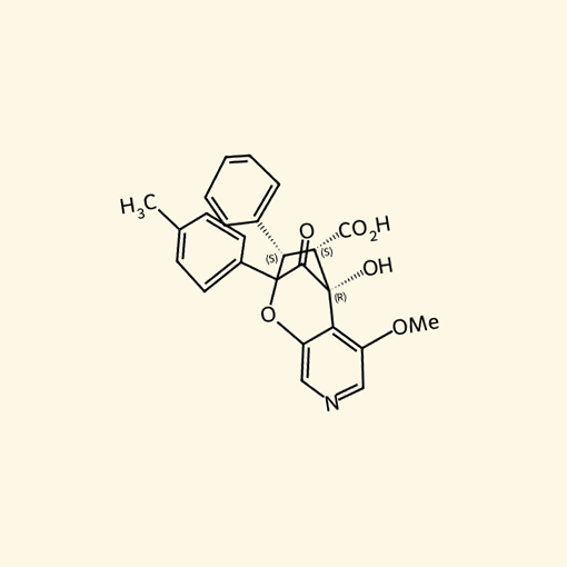 COc1cncc2c1[C@@]1(O)C(=O)C(c3ccc(C)cc3)(O2)[C@H](c2ccccc2)[C@@H]1C(=O)O